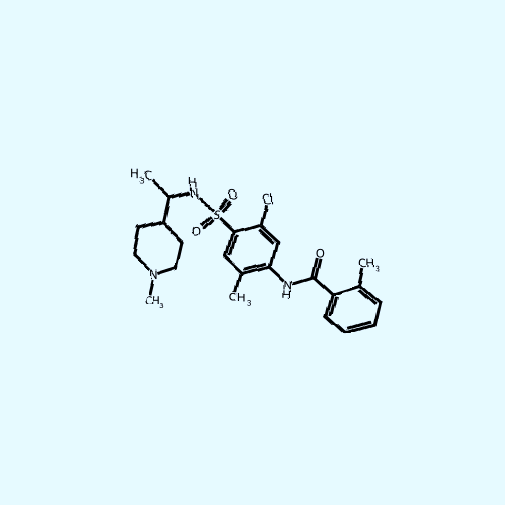 Cc1cc(S(=O)(=O)NC(C)C2CCN(C)CC2)c(Cl)cc1NC(=O)c1ccccc1C